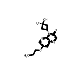 CCCOc1cnc2c(c1)ncc(=O)n2[C@H]1C[C@@](C)(O)C1